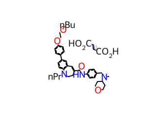 CCCCOCCOc1ccc(-c2ccc3c(c2)C=C(C(=O)Nc2ccc(CN(C)C4CCOCC4)cc2)CCN3CCC)cc1.O=C(O)/C=C/C(=O)O